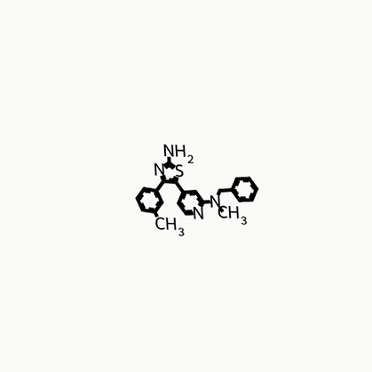 Cc1cccc(-c2nc(N)sc2-c2ccnc(N(C)Cc3ccccc3)c2)c1